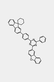 c1ccc(-c2nc(-c3ccc(-c4ccc5c(c4)C4(CCCCC4)c4ccccc4-5)cc3)nc(-c3ccc4oc5ccccc5c4c3)n2)cc1